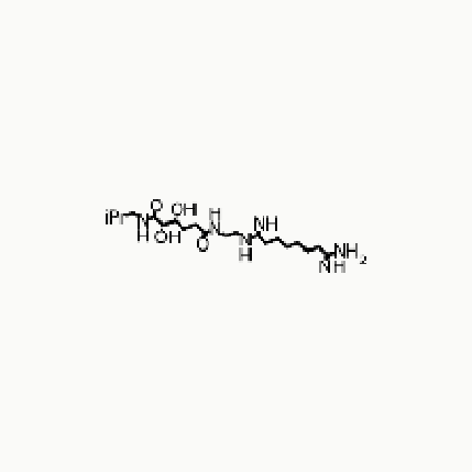 CC(C)CNC(=O)[C@@H](O)[C@H](O)CCC(=O)NCCNC(=N)CCCCCCC(=N)N